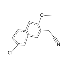 COc1cc2ccc(Cl)cc2cc1CC#N